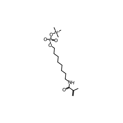 C=C(C)C(=O)NCCCCCCCCOP(=O)([O-])O[N+](C)(C)C